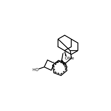 CO[C@]12CC3CC(C1)[C@](CC(=O)N1CC(O)C1)(Cc1ccccc1)C(C3)C2